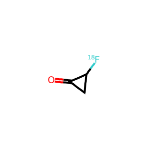 O=C1CC1[18F]